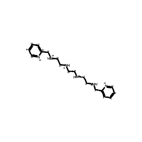 c1ccc(CNCCNCCNCCNCc2ccccn2)nc1